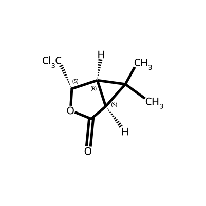 CC1(C)[C@@H]2[C@@H](C(Cl)(Cl)Cl)OC(=O)[C@@H]21